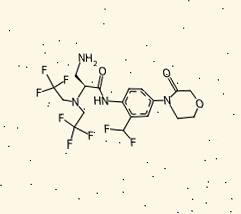 NC[C@@H](C(=O)Nc1ccc(N2CCOCC2=O)cc1C(F)F)N(CC(F)(F)F)CC(F)(F)F